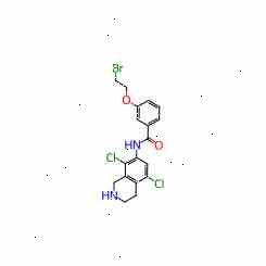 O=C(Nc1cc(Cl)c2c(c1Cl)CNCC2)c1cccc(OCCBr)c1